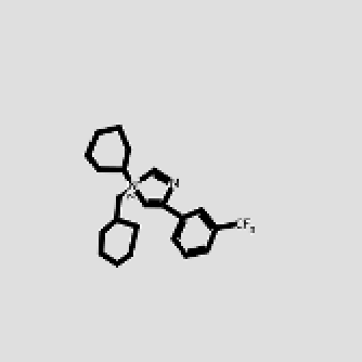 FC(F)(F)c1cccc(C2=C[N@+](CC3CCCCC3)(C3CCCCC3)[C]=N2)c1